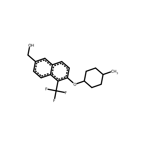 CC1CCC(Oc2ccc3cc(CO)ccc3c2C(F)(F)F)CC1